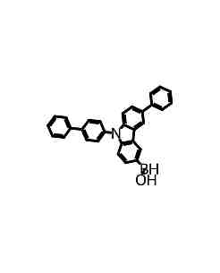 OBc1ccc2c(c1)c1cc(-c3ccccc3)ccc1n2-c1ccc(-c2ccccc2)cc1